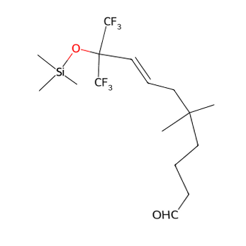 CC(C)(C/C=C/C(O[Si](C)(C)C)(C(F)(F)F)C(F)(F)F)CCCC=O